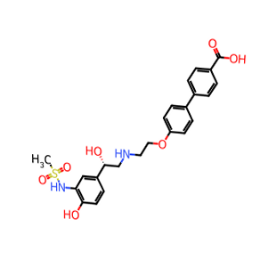 CS(=O)(=O)Nc1cc([C@H](O)CNCCOc2ccc(-c3ccc(C(=O)O)cc3)cc2)ccc1O